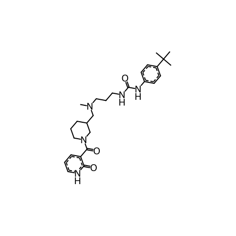 CN(CCCNC(=O)Nc1ccc(C(C)(C)C)cc1)CC1CCCN(C(=O)c2ccc[nH]c2=O)C1